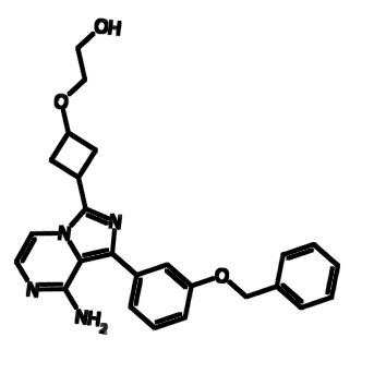 Nc1nccn2c(C3CC(OCCO)C3)nc(-c3cccc(OCc4ccccc4)c3)c12